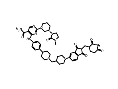 CN1CCN([C@@H]2CCCN(c3ncc(C(N)=O)c(Nc4ccc(C5CCN(CC6CCN(c7ccc8c(c7)C(=O)C(CC7CCC(=O)NC7=O)C8=O)CC6)CC5)cc4)n3)C2)C1=O